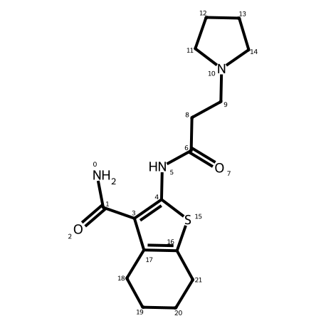 NC(=O)c1c(NC(=O)CCN2CCCC2)sc2c1CCCC2